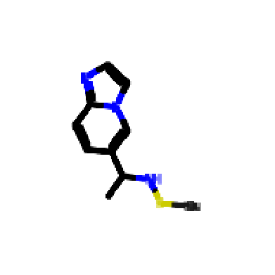 CC(NSC(C)(C)C)c1ccc2nccn2c1